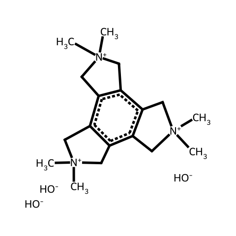 C[N+]1(C)Cc2c3c(c4c(c2C1)C[N+](C)(C)C4)C[N+](C)(C)C3.[OH-].[OH-].[OH-]